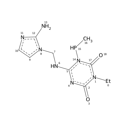 CCn1c(=O)nc(NCn2ccnc2N)n(PC)c1=O